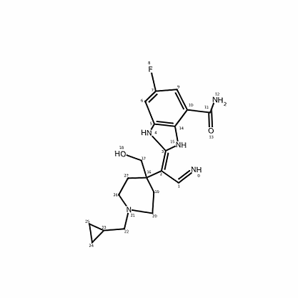 N=C/C(=C1/Nc2cc(F)cc(C(N)=O)c2N1)C1(CO)CCN(CC2CC2)CC1